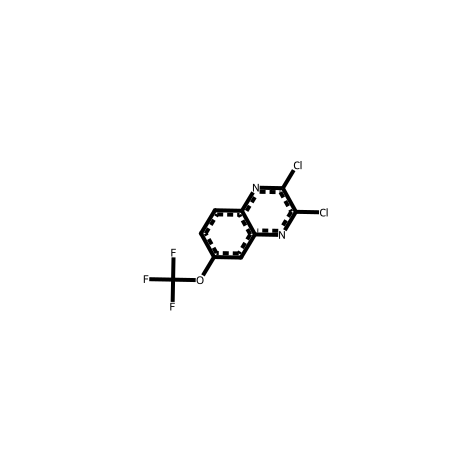 FC(F)(F)Oc1ccc2nc(Cl)c(Cl)nc2c1